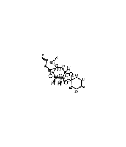 C=CC[C@@H]1O[C@@H]2C[C@@]1(OC)C[C@H]1OC3(CCCCC3)O[C@@H]21